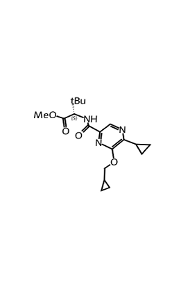 COC(=O)[C@@H](NC(=O)c1cnc(C2CC2)c(OCC2CC2)n1)C(C)(C)C